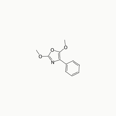 COc1nc(-c2ccccc2)c(OC)o1